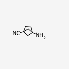 N#CC12CCC(N)(C1)C2